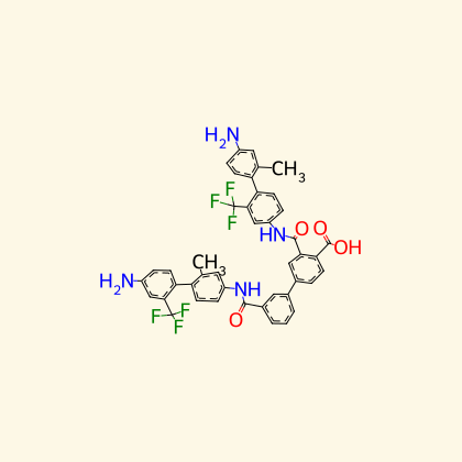 Cc1cc(NC(=O)c2cccc(-c3ccc(C(=O)O)c(C(=O)Nc4ccc(-c5ccc(N)cc5C)c(C(F)(F)F)c4)c3)c2)ccc1-c1ccc(N)cc1C(F)(F)F